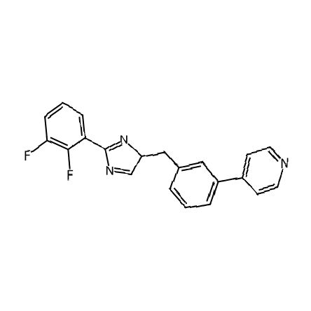 Fc1cccc(C2=NC(Cc3cccc(-c4ccncc4)c3)C=N2)c1F